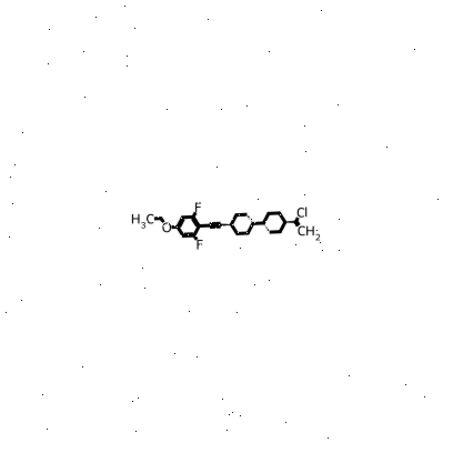 C=C(Cl)[C@H]1CC[C@H]([C@H]2CC[C@H](C#Cc3c(F)cc(OCC)cc3F)CC2)CC1